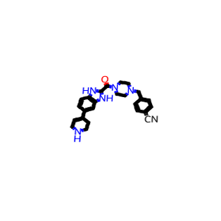 N#Cc1ccc(CN2CCN(C(=O)C3Nc4ccc(C5=CCNCC5)cc4N3)CC2)cc1